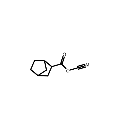 N#COC(=O)C1CC2CCC1C2